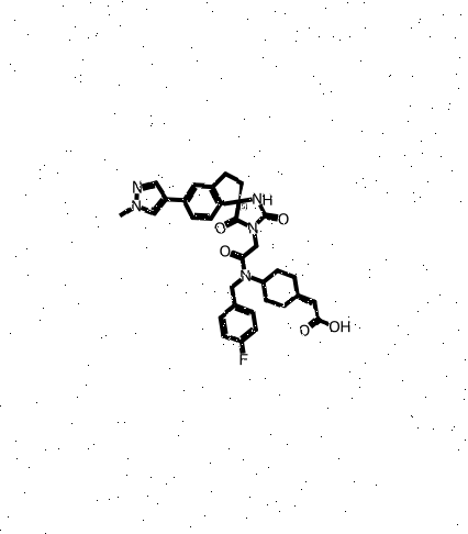 Cn1cc(-c2ccc3c(c2)CC[C@]32NC(=O)N(CC(=O)N(Cc3ccc(F)cc3)C3CCC(=CC(=O)O)CC3)C2=O)cn1